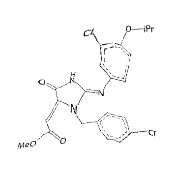 COC(=O)/C=C1/C(=O)N/C(=N\c2ccc(OC(C)C)c(Cl)c2)N1Cc1ccc(Cl)cc1